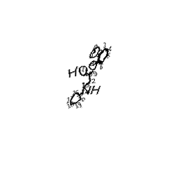 COc1ccccc1OCC(O)CCNC1CCCCC1